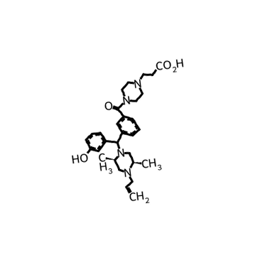 C=CCN1C[C@@H](C)N(C(c2cccc(O)c2)c2cccc(C(=O)N3CCN(CCC(=O)O)CC3)c2)C[C@H]1C